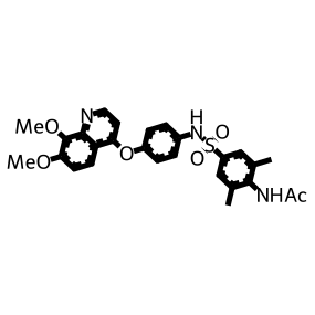 COc1ccc2c(Oc3ccc(NS(=O)(=O)c4cc(C)c(NC(C)=O)c(C)c4)cc3)ccnc2c1OC